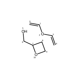 C=COC=C.OCC1CCO1